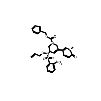 C=CCON(C1C=C(c2ccc(=O)n(C)c2)CN(C(=O)OCc2ccccc2)C1)S(=O)(=O)c1ccccc1[N+](=O)[O-]